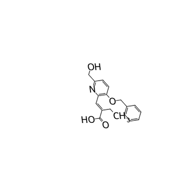 CC/C(=C\c1nc(CO)ccc1OCc1ccccc1)C(=O)O